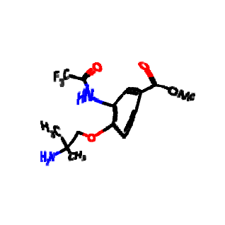 COC(=O)c1ccc(OCC(C)(C)N)c(NC(=O)C(F)(F)F)c1